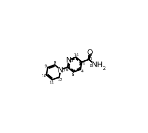 NC(=O)c1ccc(N2C=CC=CC2)nc1